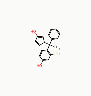 CC(c1ccccc1)(c1ccc(O)cc1S)C1C=CC(O)=C1